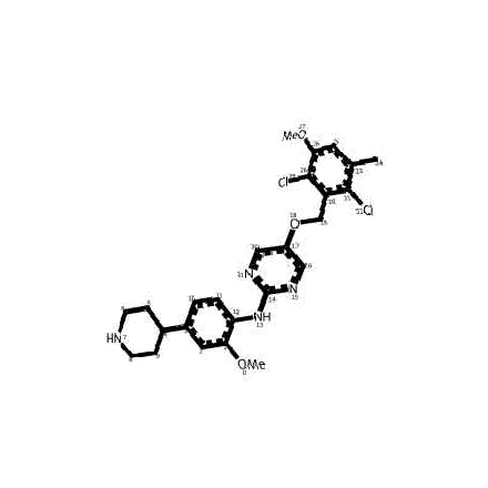 COc1cc(C2CCNCC2)ccc1Nc1ncc(OCc2c(Cl)c(C)cc(OC)c2Cl)cn1